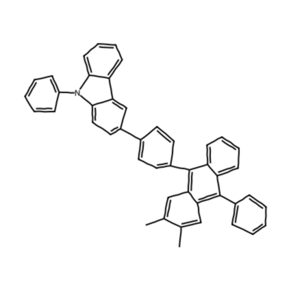 Cc1cc2c(-c3ccccc3)c3ccccc3c(-c3ccc(-c4ccc5c(c4)c4ccccc4n5-c4ccccc4)cc3)c2cc1C